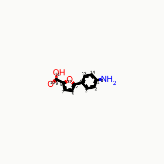 Nc1ccc(-c2ccc(C(=O)O)o2)cc1